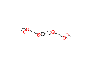 c1cc([C@H]2CC[C@H](OCCCCCCOC3CCCCO3)CC2)ccc1OCCCCCCOC1CCCCO1